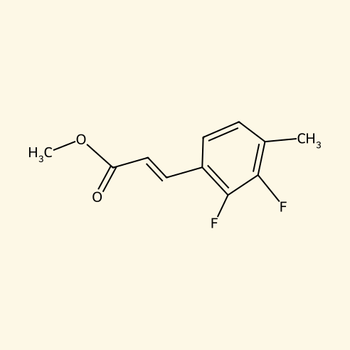 COC(=O)/C=C/c1ccc(C)c(F)c1F